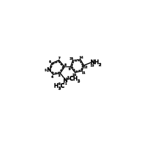 CN(C)c1cnccc1-c1ccc(N)cc1